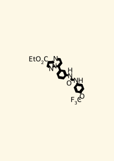 CCOC(=O)c1cnn2c(-c3cccc(NC(=O)Nc4ccc(OC(F)(F)F)cc4)c3)ccnc12